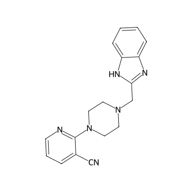 N#Cc1cccnc1N1CCN(Cc2nc3ccccc3[nH]2)CC1